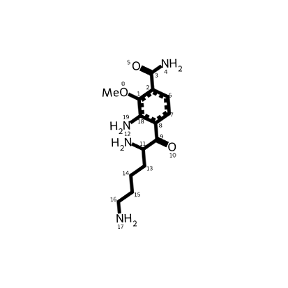 COc1c(C(N)=O)ccc(C(=O)C(N)CCCCN)c1N